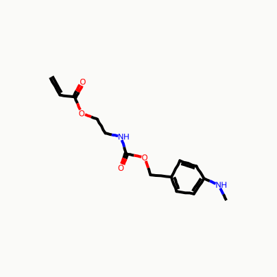 C=CC(=O)OCCNC(=O)OCc1ccc(NC)cc1